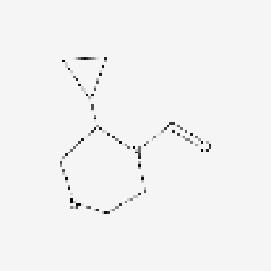 O=CN1CCSCC1C1CC1